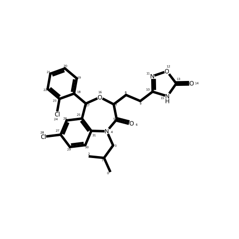 CC(C)CN1C(=O)C(CCc2noc(=O)[nH]2)OC(c2ccccc2Cl)c2cc(Cl)ccc21